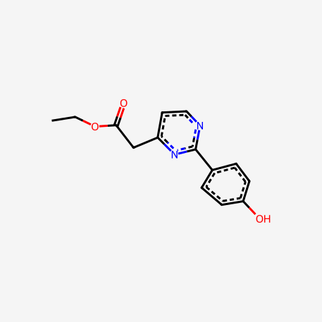 CCOC(=O)Cc1ccnc(-c2ccc(O)cc2)n1